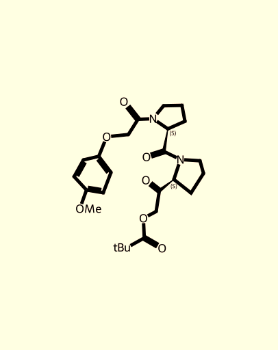 COc1ccc(OCC(=O)N2CCC[C@H]2C(=O)N2CCC[C@H]2C(=O)COC(=O)C(C)(C)C)cc1